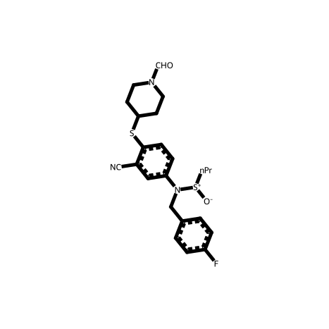 CCC[S+]([O-])N(Cc1ccc(F)cc1)c1ccc(SC2CCN(C=O)CC2)c(C#N)c1